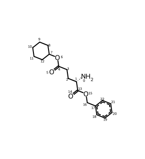 N[C@@H](CCC(=O)OC1CCCCC1)C(=O)OCc1ccccc1